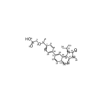 CC(OCC(=O)O)c1ccc(-c2ccc3nnc4c(c3c2)n(C(C)C)c(=O)n4C)cn1